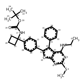 CCNc1nc(SC)nc2oc(-c3ccc(C4(NC(=O)OC(C)(C)C)CCC4)cc3)c(-c3ccccc3)c12